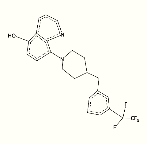 Oc1ccc(N2CCC(Cc3cccc(C(F)(F)C(F)(F)F)c3)CC2)c2ncccc12